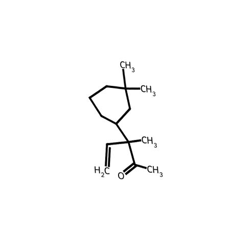 C=CC(C)(C(C)=O)C1CCCC(C)(C)C1